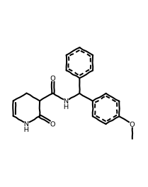 COc1ccc(C(NC(=O)C2CC=CNC2=O)c2ccccc2)cc1